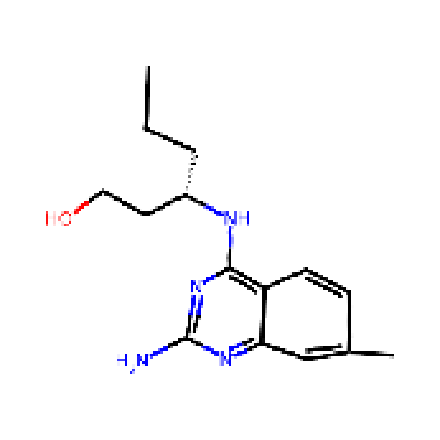 CCC[C@@H](CCO)Nc1nc(N)nc2cc(C)ccc12